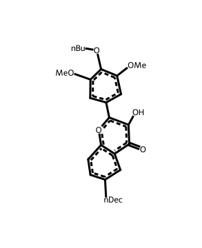 CCCCCCCCCCc1ccc2oc(-c3cc(OC)c(OCCCC)c(OC)c3)c(O)c(=O)c2c1